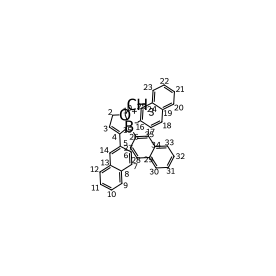 C[O+]1CC=C(c2ccc3ccccc3c2)[B-]1(c1ccc2ccccc2c1)c1ccc2ccccc2c1